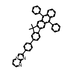 CC1(C)c2cc(-c3ccc(-c4cn5cccnc5n4)cc3)ccc2-c2cc3c(-c4ccccc4)c4ccccc4c(-c4ccccc4)c3cc21